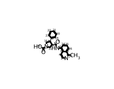 Cc1nccc2c(NC(=O)[C@H]3CN(C(=O)O)C[C@@H]3c3ccccc3)cccc12